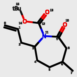 C=CCC1CCC(C)CC(=O)N1C(=O)OC(C)(C)C